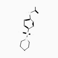 CC(=S)Nc1ccc(S(=O)(=O)N2CCCCC2)cc1